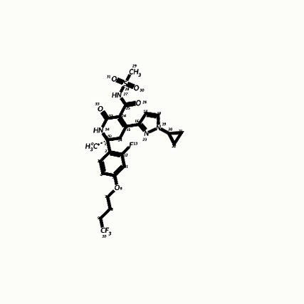 C[C@@]1(c2ccc(OCCCC(F)(F)F)cc2F)CC(c2ccn(C3CC3)n2)=C(C(=O)NS(C)(=O)=O)C(=O)N1